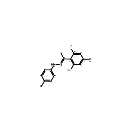 C/C(=N\Nc1ccc(C)cc1)c1c(F)cc(Br)cc1F